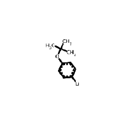 [Li][c]1ccc(OC(C)(C)C)cc1